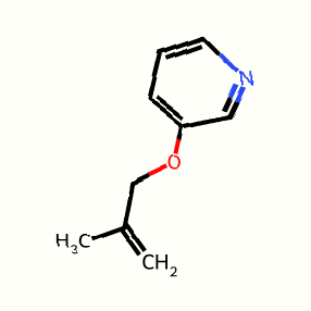 C=C(C)COc1cccnc1